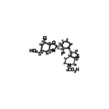 O=C(O)N1CCc2c(-c3cccc(-c4nc5cc(CO)cc(Cl)c5o4)c3F)csc2C1